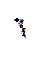 CSn1cc(-c2cc3nccc(Oc4ccc(NC(=O)C5(C(=O)Nc6ccc(C)cc6)CC5)cc4F)c3cn2)cn1